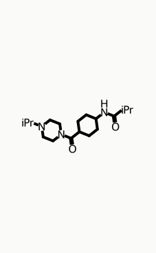 CC(C)C(=O)NC1CCC(C(=O)N2CCN(C(C)C)CC2)CC1